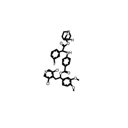 COc1ccc(C(Cc2c(Cl)cncc2Cl)OC(=O)c2ccc(NC(C(=O)O[C@H]3CN4CCC3CC4)c3cccc(F)c3)cc2)cc1OC